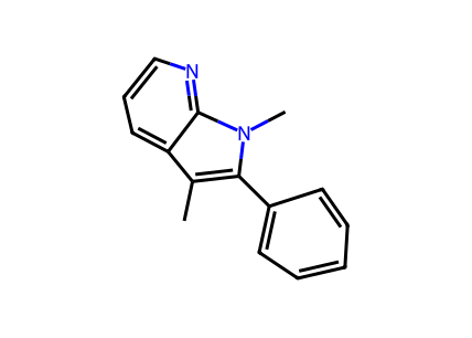 Cc1c(-c2ccccc2)n(C)c2ncccc12